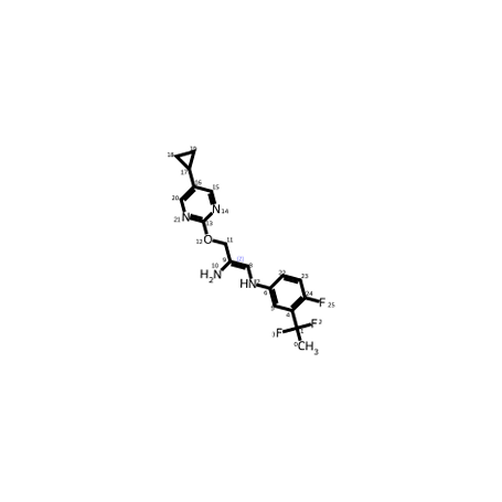 CC(F)(F)c1cc(N/C=C(\N)COc2ncc(C3CC3)cn2)ccc1F